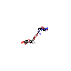 N#Cc1ccc(Oc2ccc3c(c2)COB3O)cc1CCOCCOCCOCCCNc1cccc2c1CN(C1CCC(=O)NC1=O)C2=O